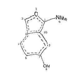 CNc1occ2ccc(O)cc12